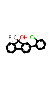 OC1(C(F)(F)F)c2ccccc2-c2ccc(-c3ccccc3Cl)cc21